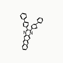 c1ccc(-c2ccc(-c3nc4cc5cc6ccccc6cc5cc4nc3-c3ccc(-c4ccccc4)cc3)cc2)cc1